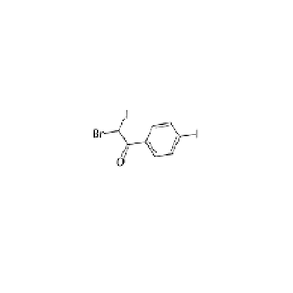 O=C(c1ccc(I)cc1)C(Br)I